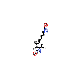 CC(C)C(N=C=O)C(C)C(C)CCCCCCN=C=O